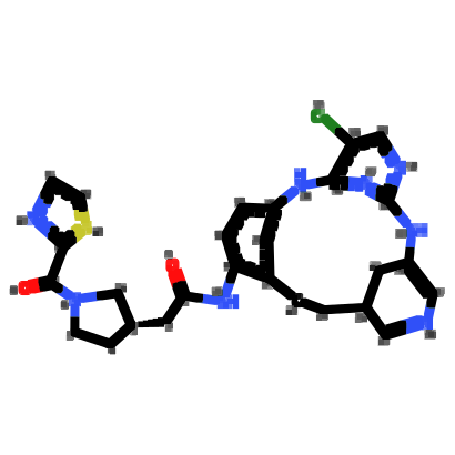 O=C(C[C@@H]1CCN(C(=O)c2nccs2)C1)Nc1ccc2cc1CCC1C=NC=C(C1)Nc1ncc(Cl)c(n1)N2